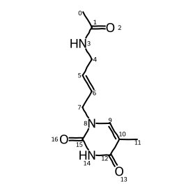 CC(=O)NCC=CCn1cc(C)c(=O)[nH]c1=O